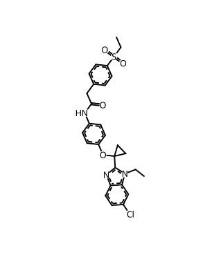 CCn1c(C2(Oc3ccc(NC(=O)Cc4ccc(S(=O)(=O)CC)cc4)cc3)CC2)nc2ccc(Cl)cc21